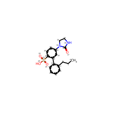 CCCc1ccccc1-c1cc(N2CCNC2=O)ccc1S(=O)(=O)O